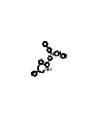 CC1(c2ccccc2)C=CC(N(c2ccc(-c3ccccc3)cc2)C2C=CC(c3ccc4c(c3)-c3ccccc3\C=C/C(c3ccccc3)=C\C=C\N4)=CC2)CC1